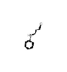 O=CCCNc1ccccc1